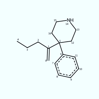 C=C(CCC)C1(c2ccccc2)CCNCC1